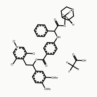 COc1ccc(C(Cc2c(Cl)c[n+]([O-])cc2Cl)OC(=O)c2ccc(NC(C(=O)O[C@H]3CN4CCC3CC4)c3ccccc3)cc2)cc1OC.O=C(O)C(F)(F)F